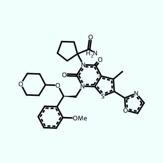 COc1ccccc1[C@H](Cn1c(=O)n(C2(C(N)=O)CCCC2)c(=O)c2c(C)c(-c3ncco3)sc21)OC1CCOCC1